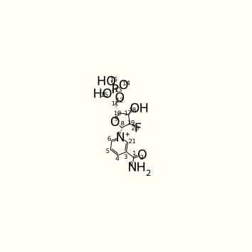 NC(=O)c1ccc[n+]([C@@H]2O[C@H](COP(=O)(O)O)C(O)[C@H]2F)c1